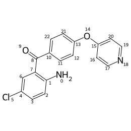 Nc1ccc(Cl)cc1C(=O)c1ccc(Oc2ccncc2)cc1